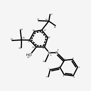 CC=C1C=CC=C/C1=N/N(C)c1cc(C(C)(C)C)cc(C(C)(C)C)c1O